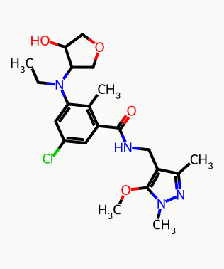 CCN(c1cc(Cl)cc(C(=O)NCc2c(C)nn(C)c2OC)c1C)C1COCC1O